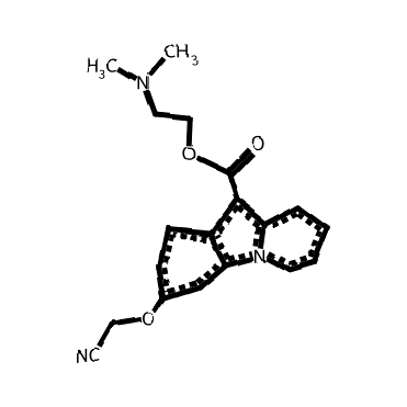 CN(C)CCOC(=O)c1c2ccc(OCC#N)cc2n2ccccc12